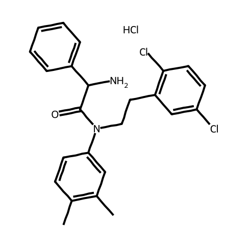 Cc1ccc(N(CCc2cc(Cl)ccc2Cl)C(=O)C(N)c2ccccc2)cc1C.Cl